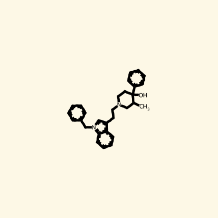 CC1CN(CCc2cn(Cc3ccccc3)c3ccccc23)CCC1(O)c1ccccc1